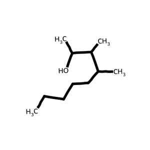 CCCCCC(C)C(C)C(C)O